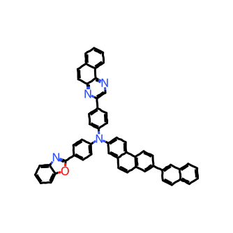 c1ccc2cc(-c3ccc4c(ccc5cc(N(c6ccc(-c7cnc8c(ccc9ccccc98)n7)cc6)c6ccc(-c7nc8ccccc8o7)cc6)ccc54)c3)ccc2c1